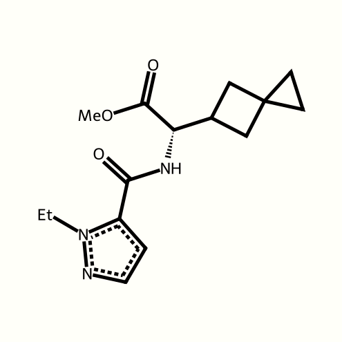 CCn1nccc1C(=O)N[C@H](C(=O)OC)C1CC2(CC2)C1